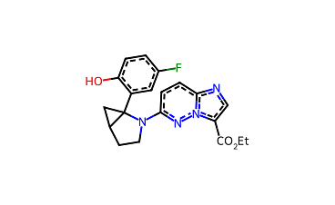 CCOC(=O)c1cnc2ccc(N3CCC4CC43c3cc(F)ccc3O)nn12